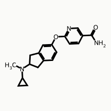 CN(C1CC1)C1Cc2ccc(Oc3ccc(C(N)=O)cn3)cc2C1